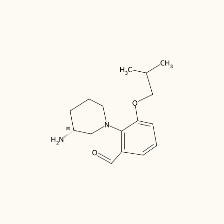 CC(C)COc1cccc(C=O)c1N1CCC[C@@H](N)C1